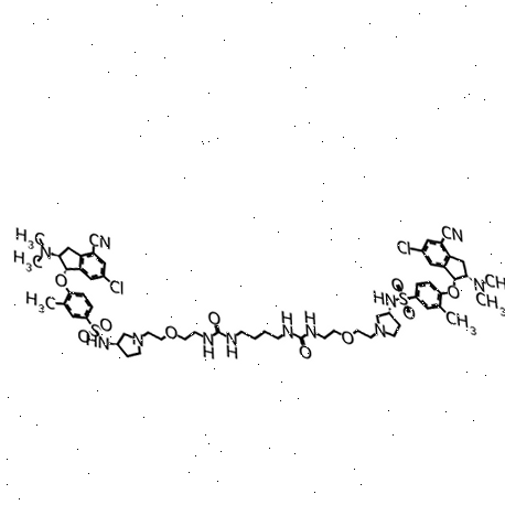 Cc1cc(S(=O)(=O)N[C@@H]2CCN(CCOCCNC(=O)NCCCCNC(=O)NCCOCCN3CC[C@@H](NS(=O)(=O)c4ccc(O[C@H]5c6cc(Cl)cc(C#N)c6C[C@@H]5N(C)C)c(C)c4)C3)C2)ccc1O[C@H]1c2cc(Cl)cc(C#N)c2C[C@@H]1N(C)C